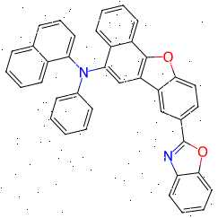 c1ccc(N(c2cccc3ccccc23)c2cc3c4cc(-c5nc6ccccc6o5)ccc4oc3c3ccccc23)cc1